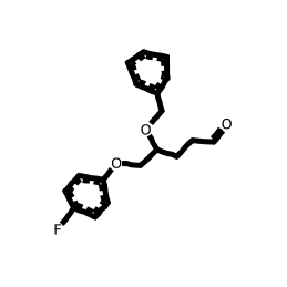 O=CCCC(COc1ccc(F)cc1)OCc1ccccc1